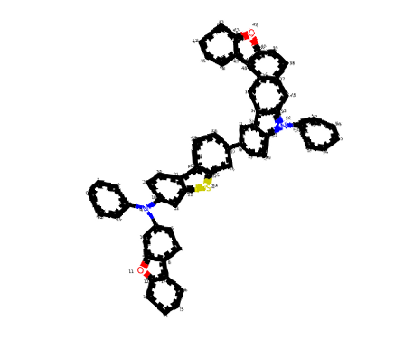 c1ccc(N(c2ccc3c(c2)oc2ccccc23)c2ccc3c(c2)sc2cc(-c4ccc5c(c4)c4cc6c(ccc7oc8ccccc8c76)cc4n5-c4ccccc4)ccc23)cc1